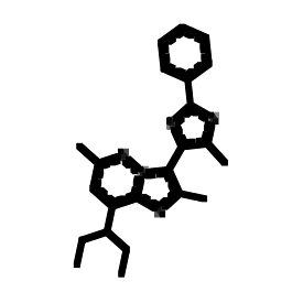 CCC(CC)c1cc(C)nn2c(-c3sc(-c4ccccc4)nc3C)c(C)nc12